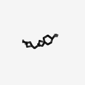 CC(C)C1CCC2(CC1)CN(CC1CN(I)C1)C2